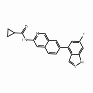 O=C(Nc1cc2ccc(-c3cc(F)cc4[nH]ncc34)cc2cn1)C1CC1